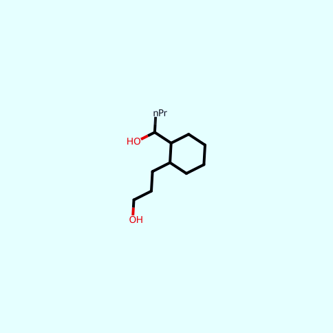 CCCC(O)C1CCCCC1CCCO